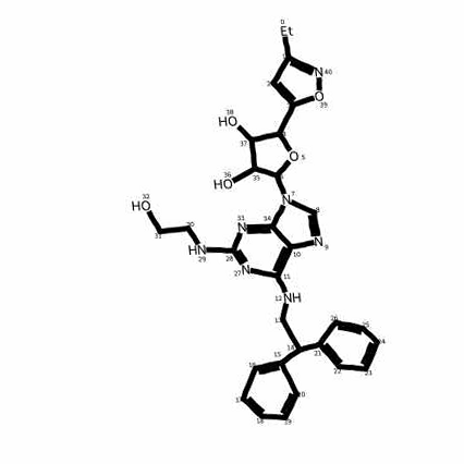 CCc1cc(C2OC(n3cnc4c(NCC(c5ccccc5)c5ccccc5)nc(NCCO)nc43)C(O)C2O)on1